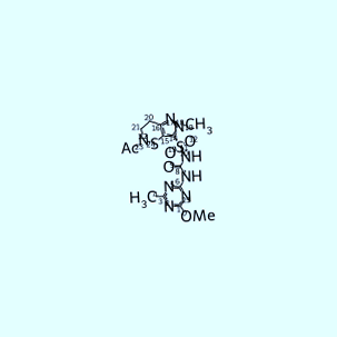 COc1nc(C)nc(NC(=O)NS(=O)(=O)c2c3c(nn2C)CCN(C(C)=O)S3)n1